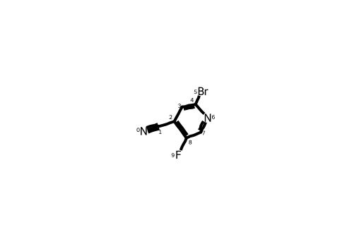 N#Cc1cc(Br)ncc1F